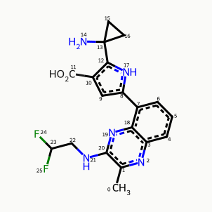 Cc1nc2cccc(-c3cc(C(=O)O)c(C4(N)CC4)[nH]3)c2nc1NCC(F)F